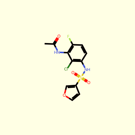 CC(=O)Nc1c(F)ccc(NS(=O)(=O)c2ccoc2)c1Cl